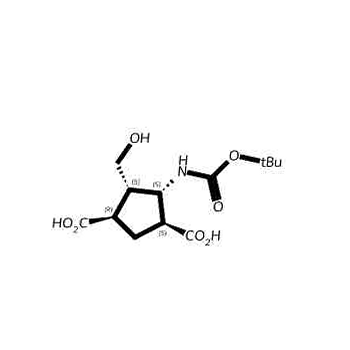 CC(C)(C)OC(=O)N[C@H]1[C@@H](CO)[C@H](C(=O)O)C[C@@H]1C(=O)O